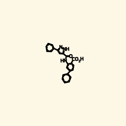 O=C(Nc1cc(-c2ccccc2)ccc1C(=O)O)c1cc(-c2ccccc2)n[nH]1